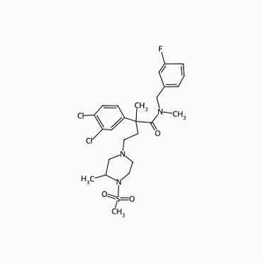 CC1CN(CCC(C)(C(=O)N(C)Cc2cccc(F)c2)c2ccc(Cl)c(Cl)c2)CCN1S(C)(=O)=O